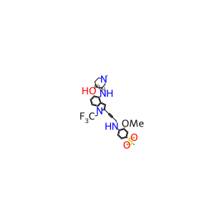 COc1cc(S(C)(=O)=O)ccc1NCC#Cc1cc2c(N[C@H]3CN(C)CC[C@H]3O)cccc2n1CC(F)(F)F